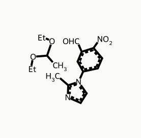 CCOC(C)OCC.Cc1nccn1-c1ccc([N+](=O)[O-])c(C=O)c1